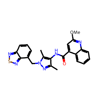 COc1cc(C(=O)Nc2c(C)nn(Cc3cccc4nsnc34)c2C)c2ccccc2n1